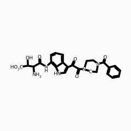 NC(C(=O)Nc1cccc2c(C(=O)C(=O)N3CCN(C(=O)c4ccccc4)CC3)c[nH]c12)C(O)C(=O)O